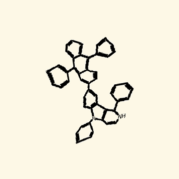 C1=Cc2c(c3cc(-c4ccc5c(-c6ccccc6)c6ccccc6c(-c6ccccc6)c5c4)ccc3n2-c2ccccc2)C(c2ccccc2)N1